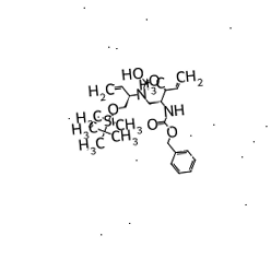 C=C[C@H](CO[Si](C)(C)C(C)(C)C)N(C[C@H](NC(=O)OCc1ccccc1)[C@@H](C)C=C)C(=O)O